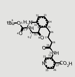 C[C@H](NC(=O)OC(C)(C)C)C(=O)c1c(N)cccc1CCCC(=O)Nc1cnccc1C(=O)O